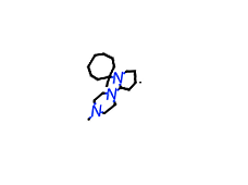 CN1CCN(C2C[CH]CCN2C2(C)CCCCCCC2)CC1